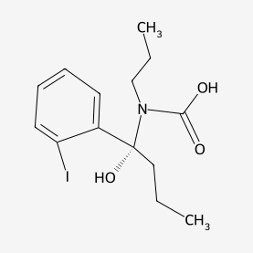 CCCN(C(=O)O)[C@@](O)(CCC)c1ccccc1I